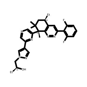 CC[C@H](O)Cn1cc(-c2cncc([C@@]3(C)c4nnc(-c5c(F)cccc5F)cc4[C@H](CC)CC3(C)C)n2)cn1